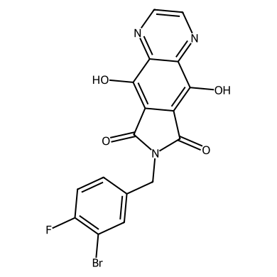 O=C1c2c(c(O)c3nccnc3c2O)C(=O)N1Cc1ccc(F)c(Br)c1